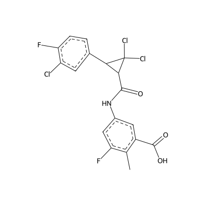 Cc1c(F)cc(NC(=O)C2C(c3ccc(F)c(Cl)c3)C2(Cl)Cl)cc1C(=O)O